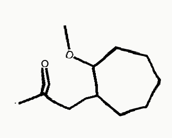 [CH2]C(=O)CC1CCCCCC1OC